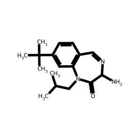 CC(C)CN1C(=O)C(N)N=Cc2ccc(C(C)(C)C)cc21